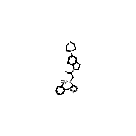 O=C(O)c1ccccc1-n1nnnc1SCC(=O)N1CCc2cc(N3CCOCC3)ccc21